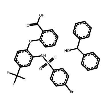 O=C(O)c1ccccc1Oc1ccc(C(F)(F)F)cc1NS(=O)(=O)c1ccc(Br)cc1.OC(c1ccccc1)c1ccccc1